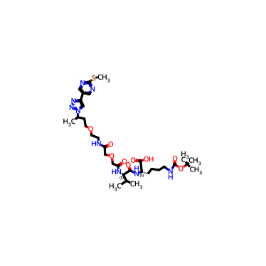 CSc1ncc(-c2cn(C(C)CCOCCNC(=O)COCC(=O)N[C@H](C(=O)N[C@@H](CCCCNC(=O)OC(C)(C)C)C(=O)O)C(C)C)nn2)cn1